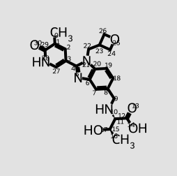 Cc1cc(-c2nc3cc(CN[C@H](C(=O)O)[C@@H](C)O)ccc3n2CC2COC2)c[nH]c1=O